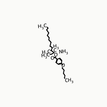 CCCCCCCCCCC(C)C(C)(CC)OC(=O)c1ccc(OCCCCCC)cc1.N